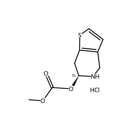 COC(=O)O[C@H]1Cc2sccc2CN1.Cl